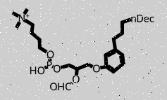 CCCCCCCCCCCCCc1cccc(OCC(COP(O)OCCCC[N+](C)(C)C)OC=O)c1